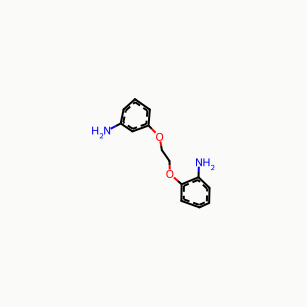 Nc1cccc(OCCOc2ccccc2N)c1